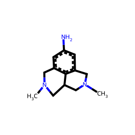 CN1Cc2cc(N)cc3c2C(C1)CN(C)C3